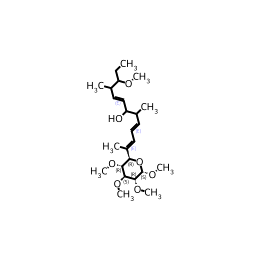 CCC(OC)C(C)/C=C/C(O)C(C)/C=C/C=C(\C)[C@H]1O[C@H](OC)[C@H](OC)[C@@H](OC)[C@@H]1OC